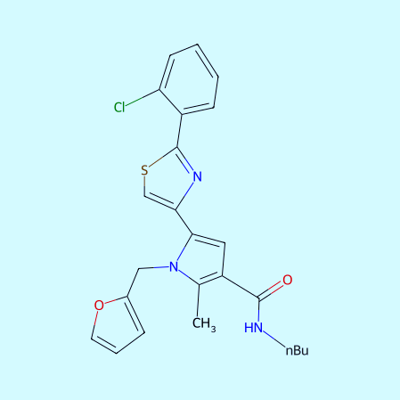 CCCCNC(=O)c1cc(-c2csc(-c3ccccc3Cl)n2)n(Cc2ccco2)c1C